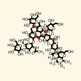 CC(=O)NC1C(O)[C@H](O[C@@H]2OC(CO)[C@H](O)[C@H](O)C2O)[C@H](CO)O[C@H]1OC1[C@@H](OCC2O[C@@H](O[C@@H]3C(CO)O[C@@H](O[C@@H]4C(CO)O[C@@H](C(C)C)C(NC(C)=O)[C@H]4O)C(NC(C)=O)[C@H]3O)C(O)[C@@H](O[C@H]3OC(CO)[C@@H](O)C(O)C3O[C@@H]3OC(CO)[C@@H](O[C@@H]4OC(CO)[C@H](O)[C@H](O)C4O)[C@H](O)C3NC(C)=O)[C@@H]2O)OC(CO)[C@@H](O)[C@@H]1O